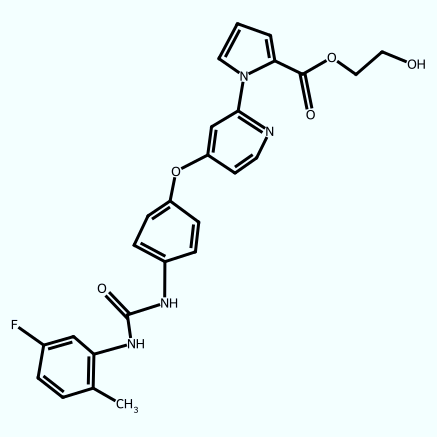 Cc1ccc(F)cc1NC(=O)Nc1ccc(Oc2ccnc(-n3cccc3C(=O)OCCO)c2)cc1